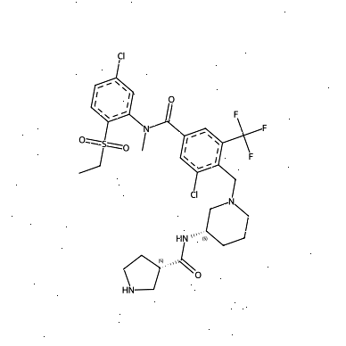 CCS(=O)(=O)c1ccc(Cl)cc1N(C)C(=O)c1cc(Cl)c(CN2CCC[C@H](NC(=O)[C@H]3CCNC3)C2)c(C(F)(F)F)c1